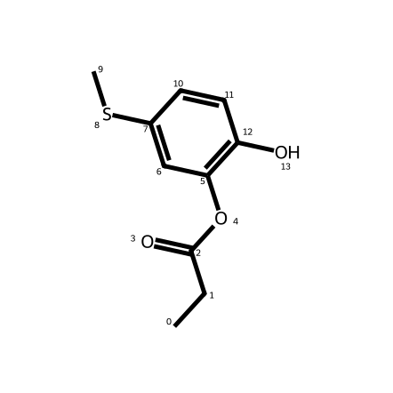 CCC(=O)Oc1cc(SC)ccc1O